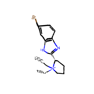 CC(C)(C)[N+]1(C(=O)[O-])CCC[C@H]1c1nc2ccc(Br)cc2[nH]1